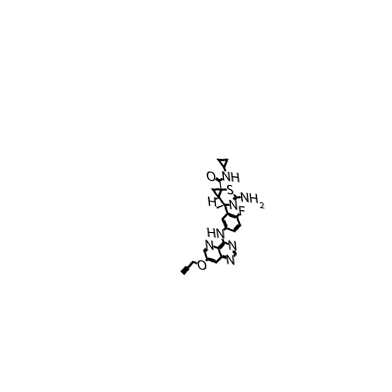 C#CCOc1cnc2c(Nc3ccc(F)c([C@@]4(C)N=C(N)S[C@@]5(C(=O)NC6CC6)C[C@H]54)c3)ncnc2c1